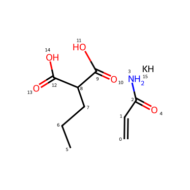 C=CC(N)=O.CCCC(C(=O)O)C(=O)O.[KH]